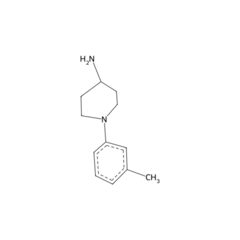 Cc1cccc(N2CCC(N)CC2)c1